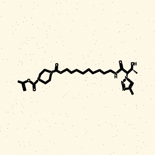 C=C(C)OC(=O)N1CCN(C(=O)CCCCCCCCCCNC(=O)[C@H]([C@@H](C)O)n2cc(C)nn2)CC1